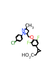 CC1=NN(c2ccc(Cl)cc2)C(COc2c(F)cc(C3CC3CC(=O)O)cc2F)C1